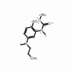 CC(=O)OCCN(C)c1ccc([N+](=O)[O-])c(N(C)C(=O)OC(C)(C)C)c1